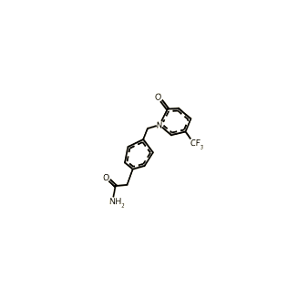 NC(=O)Cc1ccc(Cn2cc(C(F)(F)F)ccc2=O)cc1